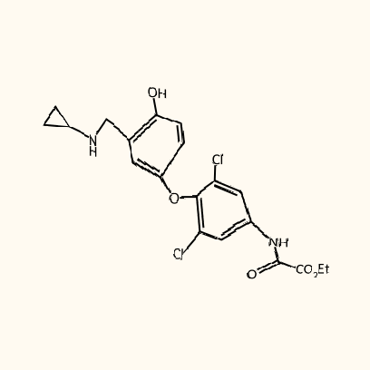 CCOC(=O)C(=O)Nc1cc(Cl)c(Oc2ccc(O)c(CNC3CC3)c2)c(Cl)c1